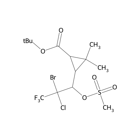 CC(C)(C)OC(=O)C1C(C(OS(C)(=O)=O)C(Cl)(Br)C(F)(F)F)C1(C)C